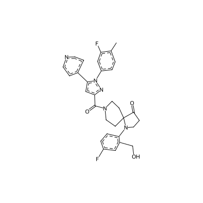 Cc1ccc(-n2nc(C(=O)N3CCC4(CC3)C(=O)CCN4c3ccc(F)cc3CO)cc2-c2ccncc2)cc1F